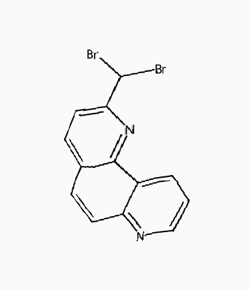 BrC(Br)c1ccc2ccc3ncccc3c2n1